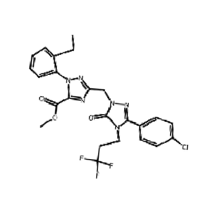 CCc1ccccc1-n1nc(Cn2nc(-c3ccc(Cl)cc3)n(CCC(F)(F)F)c2=O)nc1C(=O)OC